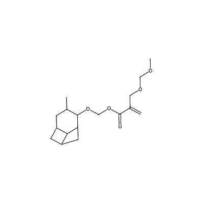 C=C(COCOC)C(=O)OCOC1C(C)CC2CC3CC1C23